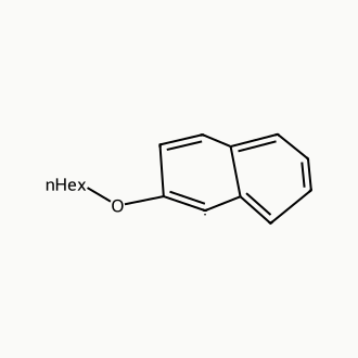 CCCCCCOc1[c]c2ccccc2cc1